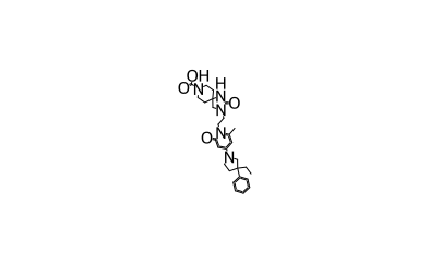 CCC1(c2ccccc2)CCN(c2cc(C)n(CCN3CC4(CCN(C(=O)O)CC4)NC3=O)c(=O)c2)C1